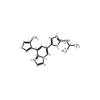 Cc1cscc1-c1cc(-c2cnc(NC(C)C)s2)cn2ccnc12